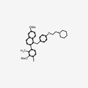 COc1ccc2c(Cc3ccc(OCCN4CCCCC4)cc3)c(-c3ccc(F)c(OC)c3C)ccc2c1